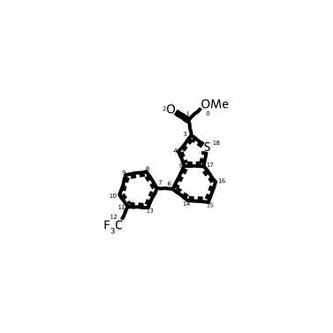 COC(=O)c1cc2c(-c3cccc(C(F)(F)F)c3)cccc2s1